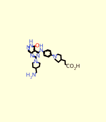 NCC1CCN(c2nc(Nc3ccc(N4CCC(CCC(=O)O)CC4)cc3)c3c(=O)[nH]ncc3n2)CC1